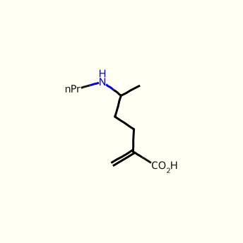 C=C(CCC(C)NCCC)C(=O)O